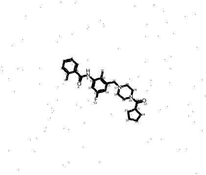 Cc1ccccc1C(=O)Nc1cc(F)cc(CN2CCN(C(=O)C3CCCC3)CC2)c1C